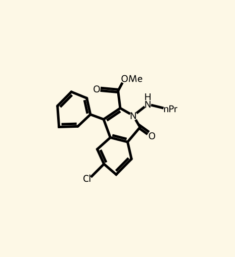 CCCNn1c(C(=O)OC)c(-c2ccccc2)c2cc(Cl)ccc2c1=O